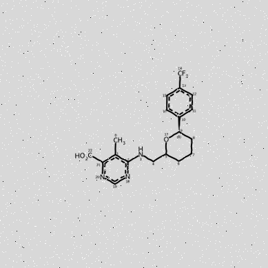 Cc1c(NCC2CCC[C@H](c3ccc(C(F)(F)F)cc3)O2)ncnc1C(=O)O